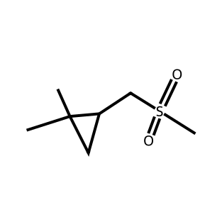 CC1(C)CC1CS(C)(=O)=O